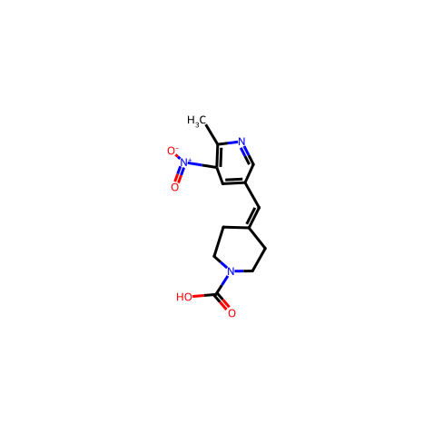 Cc1ncc(C=C2CCN(C(=O)O)CC2)cc1[N+](=O)[O-]